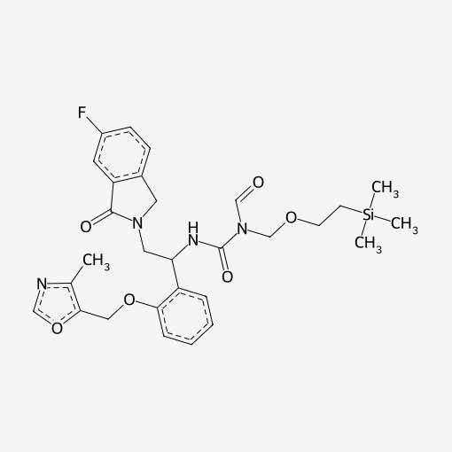 Cc1ncoc1COc1ccccc1C(CN1Cc2ccc(F)cc2C1=O)NC(=O)N(C=O)COCC[Si](C)(C)C